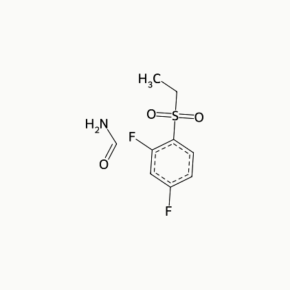 CCS(=O)(=O)c1ccc(F)cc1F.NC=O